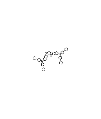 c1cc(N(c2ccc(C3CCCCC3)cc2)c2ccc3cc4c(cc3c2)oc2c4ccc3oc4cc5cc(N(c6ccc(C7CCCCC7)cc6)c6ccc(C7CCCCC7)cc6)ccc5cc4c32)ccc1C1CCCCC1